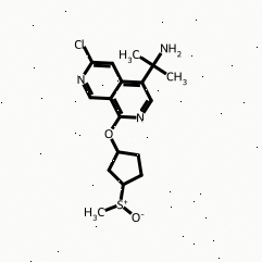 C[S+]([O-])C1CCC(Oc2ncc(C(C)(C)N)c3cc(Cl)ncc23)C1